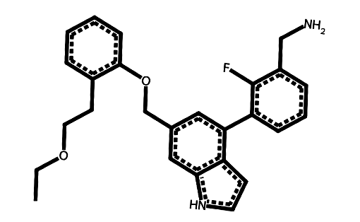 CCOCCc1ccccc1OCc1cc(-c2cccc(CN)c2F)c2cc[nH]c2c1